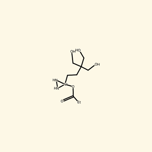 CCC(=O)O[N+]1(CCC(CO)(CO)CO)NN1